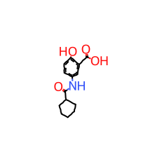 O=C(O)c1cc(NC(=O)C2CCCCC2)ccc1O